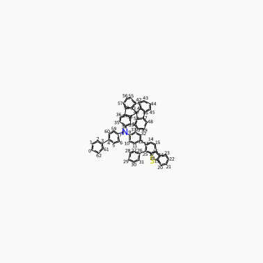 c1ccc(-c2ccc(N(c3ccc(-c4ccc5c(sc6ccccc65)c4-c4ccccc4)cc3)c3ccc4c(c3)C3(c5ccccc5-c5ccccc53)c3ccccc3-4)cc2)cc1